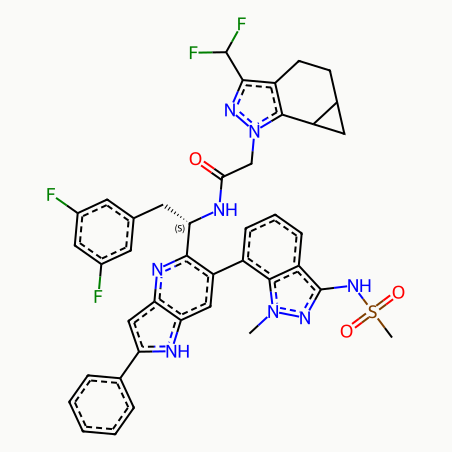 Cn1nc(NS(C)(=O)=O)c2cccc(-c3cc4[nH]c(-c5ccccc5)cc4nc3[C@H](Cc3cc(F)cc(F)c3)NC(=O)Cn3nc(C(F)F)c4c3C3CC3CC4)c21